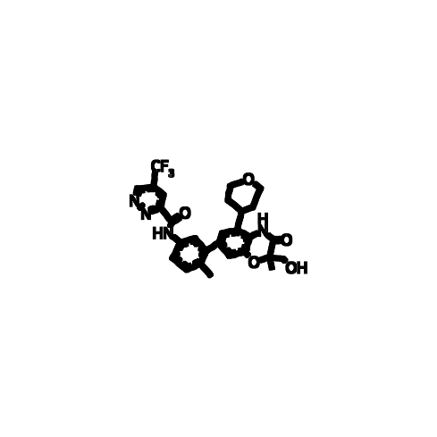 Cc1ccc(NC(=O)c2cc(C(F)(F)F)cnn2)cc1-c1cc2c(c(C3CCOCC3)c1)NC(=O)C(C)(CO)O2